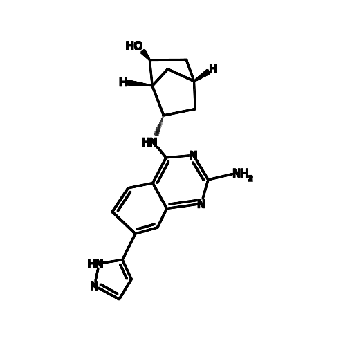 Nc1nc(N[C@H]2C[C@@H]3C[C@H]2[C@@H](O)C3)c2ccc(-c3ccn[nH]3)cc2n1